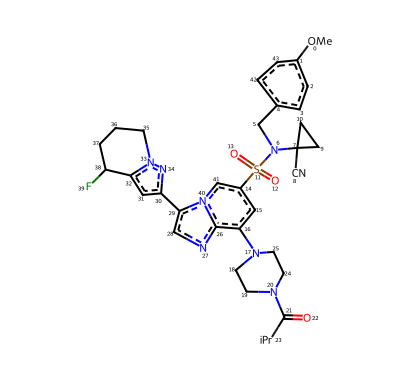 COc1ccc(CN(C2(C#N)CC2)S(=O)(=O)c2cc(N3CCN(C(=O)C(C)C)CC3)c3ncc(-c4cc5n(n4)CCCC5F)n3c2)cc1